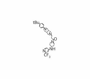 CC(C)(C)c1ccc(N2CC3CN(CCC(=O)N4CCC(Nc5ccnc(C(F)(F)F)c5)CC4)CC3C2)cc1